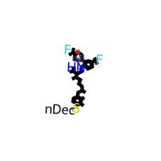 C=C(C)C(CNc1ccc(C(C)(C)F)cc1C(/C=C\C(=C)C(C)(C)F)=C/C)C(C)CCCC(C)Cc1ccc(SCCCCCCCCCC)c(C)c1C